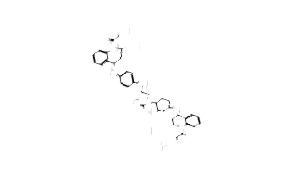 CCC(=O)N1c2ccccc2[C@H](Nc2ccc(NC(=O)CN(C(=O)O)C3CCC(N[C@@H]4C[C@H](C)N(C(=O)CC)c5ccccc54)CC3)cc2)C[C@@H]1C